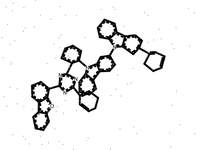 C1=CCCC(c2ccc3c4ccccc4n(-c4ccc5c6ccccc6n(-c6ccccc6-c6nc(C7=CCCC=C7)nc(-c7cccc8c7oc7ccccc78)n6)c5c4)c3c2)=C1